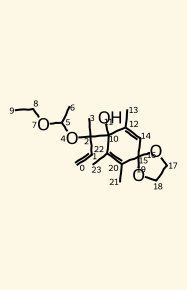 C=CC(C)(OC(C)OCC)C1(O)C(C)=CC2(OCCO2)C(C)=C1C